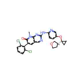 Cn1c(=O)c(-c2c(Cl)cccc2Cl)cc2cnc(Nc3ccc(OC4([C@@H]5CCOC5)CC4)cn3)nc21